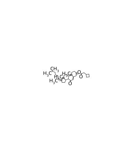 CC(C)CCCC(C)[C@H]1CCC2C3C(=O)C=C4C[C@@H](OC(=O)CC5CCC5)CC[C@]4(C)C3CC[C@@]21C